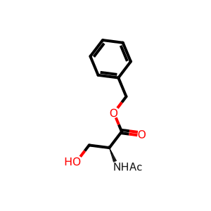 CC(=O)N[C@@H](CO)C(=O)OCc1ccccc1